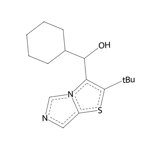 CC(C)(C)c1sc2cncn2c1C(O)C1CCCCC1